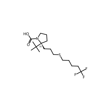 CC(C)(C)[C@@]1(CCCSCCCCC(F)(F)F)CCCN1C(=O)O